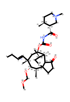 CC/C=C/[C@]1(C)C[C@@H](OC(=O)NC(=O)[C@H]2CN(C)CC[C@@H]2C)[C@@]2(C)C3C(=O)CCC3(CC[C@H]2C)[C@@H](C)[C@@H]1OCOC